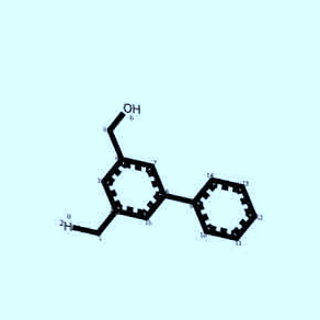 [2H]Cc1cc(CO)cc(-c2ccccc2)c1